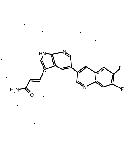 NC(=O)C=Cc1c[nH]c2ncc(-c3cnc4cc(F)c(F)cc4c3)cc12